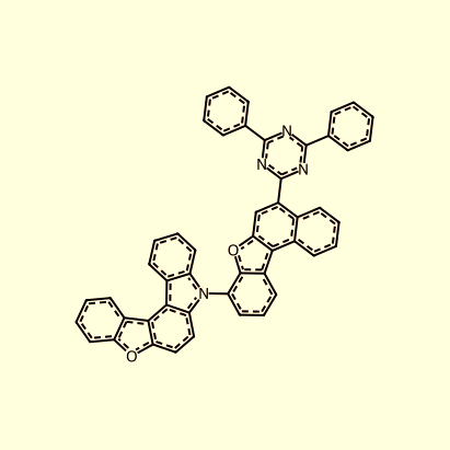 c1ccc(-c2nc(-c3ccccc3)nc(-c3cc4oc5c(-n6c7ccccc7c7c8c(ccc76)oc6ccccc68)cccc5c4c4ccccc34)n2)cc1